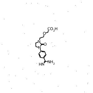 N=C(N)c1ccc(N2CCN(CCOCC(=O)O)C2=O)cc1